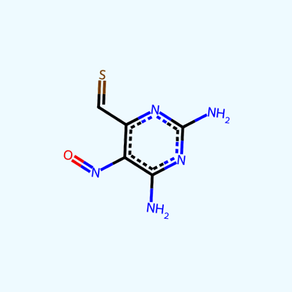 Nc1nc(N)c(N=O)c(C=S)n1